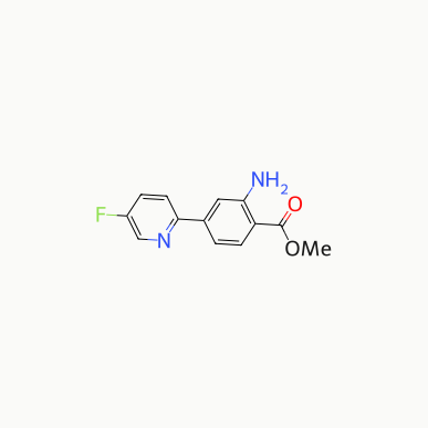 COC(=O)c1ccc(-c2ccc(F)cn2)cc1N